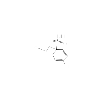 NS(=O)(=O)C1(CCCl)C=CC(Cl)=CC1